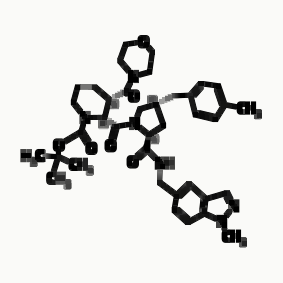 Cc1ccc(C[C@@H]2C[C@@H](C(=O)NCc3ccc4c(cnn4C)c3)N(C(=O)[C@H]3[C@@H](C(=O)N4CCOCC4)CCCN3C(=O)OC(C)(C)C)C2)cc1